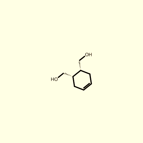 OC[C@@H]1CC=CC[C@@H]1CO